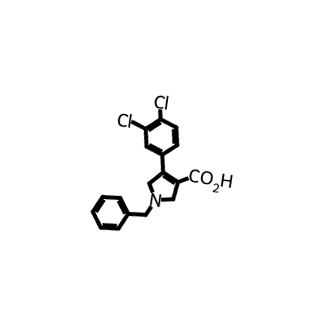 O=C(O)C1=C(c2ccc(Cl)c(Cl)c2)CN(Cc2ccccc2)C1